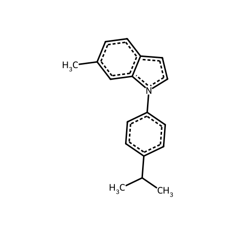 Cc1ccc2ccn(-c3ccc(C(C)C)cc3)c2c1